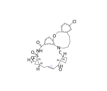 C[C@@]12C[C@H]1C/C=C/C(=O)[C@@H]1CC[C@H]1CN1CCCCc3cc(Cl)ccc3COc3ccc(cc31)C(=O)NS2(=O)=O